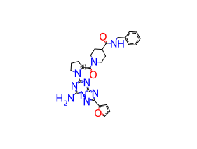 Nc1nc(N2CCC[C@H]2C(=O)N2CCC(C(=O)NCc3ccccc3)CC2)nc2nc(-c3ccco3)nn12